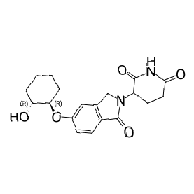 O=C1CCC(N2Cc3cc(O[C@@H]4CCCC[C@H]4O)ccc3C2=O)C(=O)N1